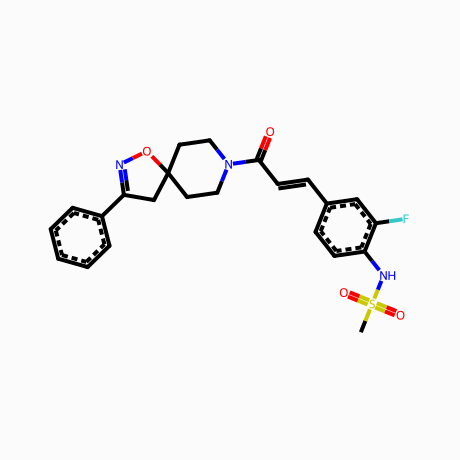 CS(=O)(=O)Nc1ccc(C=CC(=O)N2CCC3(CC2)CC(c2ccccc2)=NO3)cc1F